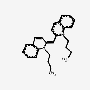 CCCCN1/C(=C/c2ccc3ccccc3[n+]2CCCC)C=Cc2ccccc21